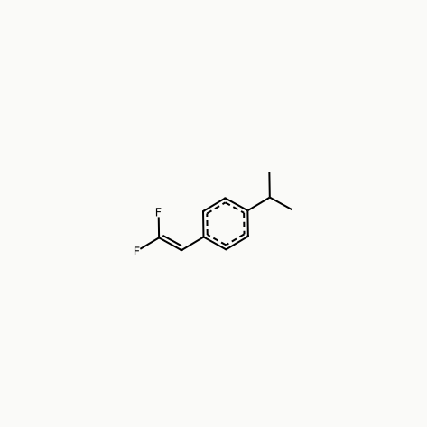 CC(C)c1ccc(C=C(F)F)cc1